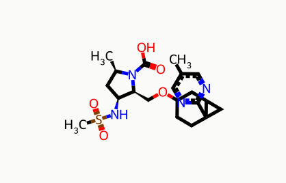 Cc1cnc(C23CCC(OC[C@H]4[C@@H](NS(C)(=O)=O)C[C@@H](C)N4C(=O)O)CC2C3)nc1